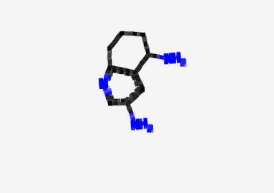 Nc1cnc2c(c1)C(N)CCC2